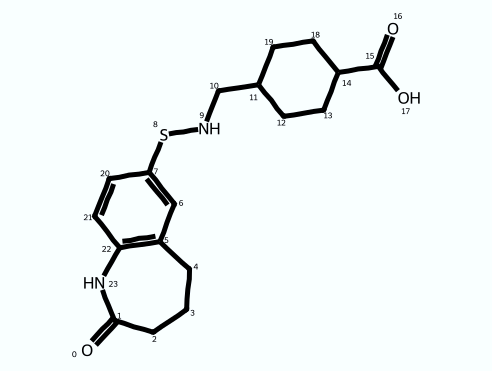 O=C1CCCc2cc(SNCC3CCC(C(=O)O)CC3)ccc2N1